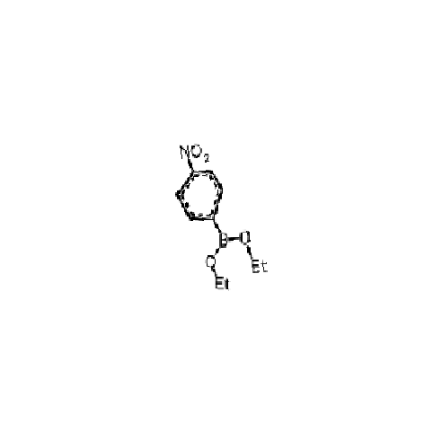 CCOB(OCC)c1ccc([N+](=O)[O-])cc1